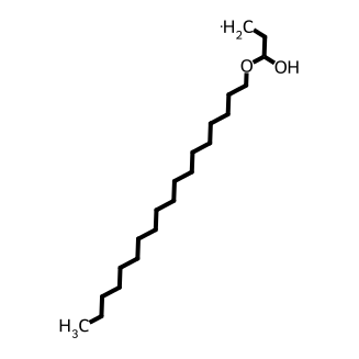 [CH2]CC(O)OCCCCCCCCCCCCCCCCCC